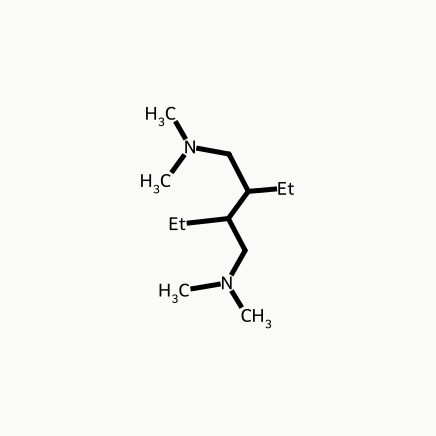 CCC(CN(C)C)C(CC)CN(C)C